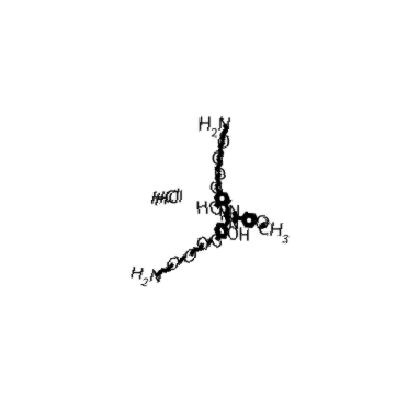 COc1ccc(-c2nc(-c3ccc(OCCOCCOCCOCCN)cc3O)nc(-c3ccc(OCCOCCOCCOCCN)cc3O)n2)cc1.Cl.Cl